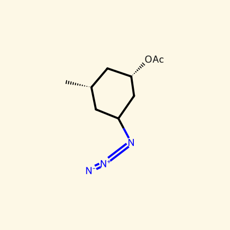 CC(=O)O[C@@H]1CC(N=[N+]=[N-])C[C@H](C)C1